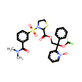 CN(C)C(=O)c1cccc(S(=O)(=O)N2CCSC2C(=O)OCC(OC(F)F)(c2ccccc2)c2cccc[n+]2[O-])c1